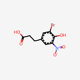 O=C(O)CCc1cc(Br)c(O)c([N+](=O)[O-])c1